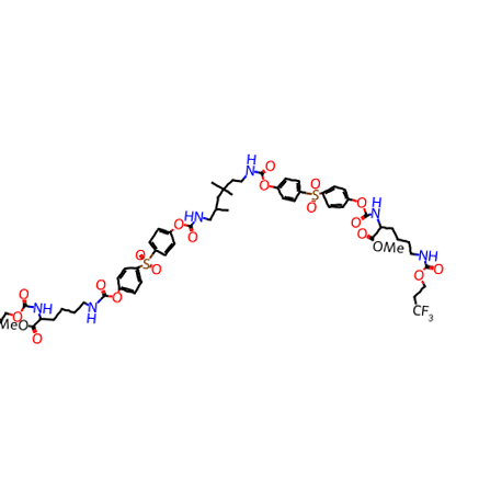 COC(=O)C(CCCCNC(=O)Oc1ccc(S(=O)(=O)c2ccc(OC(=O)NCC(C)CC(C)(C)CCNC(=O)Oc3ccc(S(=O)(=O)c4ccc(OC(=O)NC(CCCCNC(=O)OCCC(F)(F)F)C(=O)OC)cc4)cc3)cc2)cc1)NC(=O)OCCC(F)(F)F